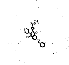 COC(=O)C1CC(n2c(C3CCOCC3)c(Br)c3ccc(OCc4ccccc4)cc3c2=O)C1